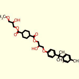 COCC(O)COC(=O)C1CCC(C(=O)OCC(O)COc2ccc(C(C)(C)c3ccc(C)cc3)cc2)CC1